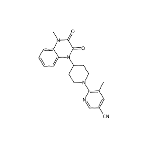 Cc1cc(C#N)cnc1N1CCC(n2c(=O)c(=O)n(C)c3ccccc32)CC1